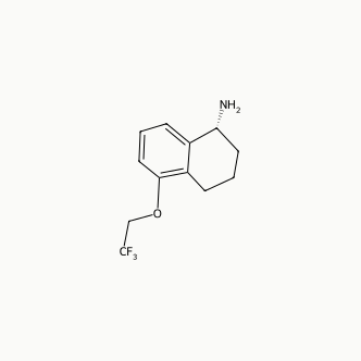 N[C@@H]1CCCc2c(OCC(F)(F)F)cccc21